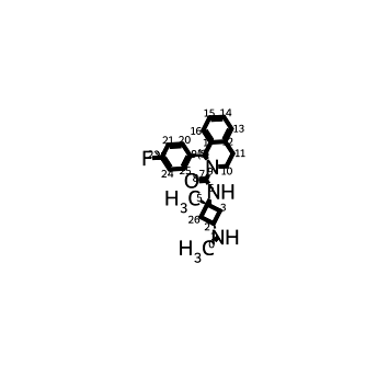 CN[C@H]1C[C@@](C)(NC(=O)N2CCc3ccccc3[C@@H]2c2ccc(F)cc2)C1